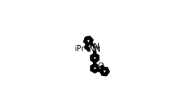 CC(C)c1cn2c(-c3ccc(-c4cccc5c4oc4ccccc45)cc3)nnc2c2ccccc12